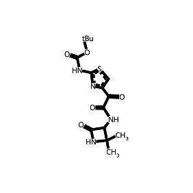 CC(C)(C)OC(=O)Nc1nc(C(=O)C(=O)NC2C(=O)NC2(C)C)cs1